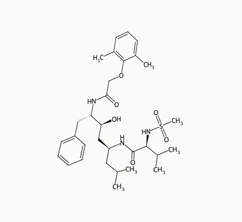 Cc1cccc(C)c1OCC(=O)N[C@@H](Cc1ccccc1)[C@@H](O)C[C@H](CC(C)C)NC(=O)[C@@H](NS(C)(=O)=O)C(C)C